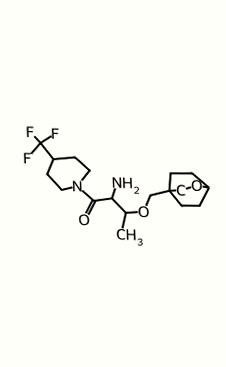 CC(OCC12CCC(CC1)OC2)C(N)C(=O)N1CCC(C(F)(F)F)CC1